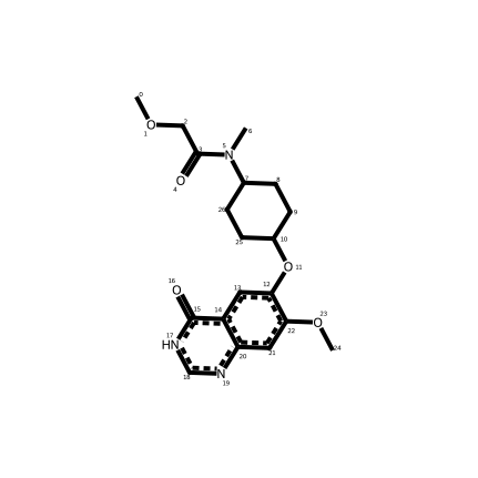 COCC(=O)N(C)C1CCC(Oc2cc3c(=O)[nH]cnc3cc2OC)CC1